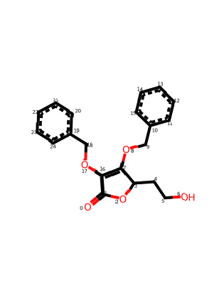 O=C1OC(CCO)C(OCc2ccccc2)=C1OCc1ccccc1